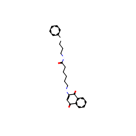 O=C(CCCCCNC1=CC(=O)c2ccccc2C1=O)NCCC[Te]c1ccccc1